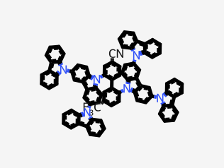 N#Cc1ccc(-c2cc(C(F)(F)F)ccc2-n2c3ccc(-n4c5ccccc5c5ccccc54)cc3c3cc(-n4c5ccccc5c5ccccc54)ccc32)c(-n2c3ccc(-n4c5ccccc5c5ccccc54)cc3c3cc(-n4c5ccccc5c5ccccc54)ccc32)c1